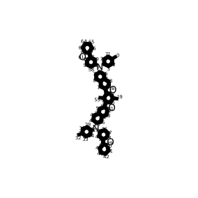 Cc1ccc(N(c2ccc3cc4c(cc3c2)oc2c(C)c3oc5cc6cc(N(c7ccc(C)cc7)c7ccc8oc9ccccc9c8c7)ccc6cc5c3c(C)c24)c2ccc3oc4ccccc4c3c2)cc1